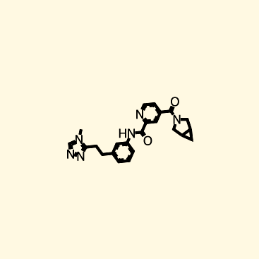 Cn1cnnc1CCc1cccc(NC(=O)c2cc(C(=O)N3CC4CC4C3)ccn2)c1